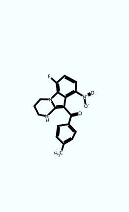 Cc1ccc(C(=O)c2c3n(c4c(F)ccc([N+](=O)[O-])c24)CCCN3)cc1